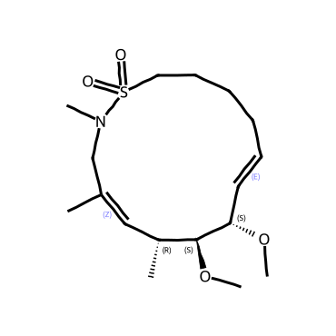 CO[C@H]1[C@H](C)/C=C(/C)CN(C)S(=O)(=O)CCCC/C=C/[C@@H]1OC